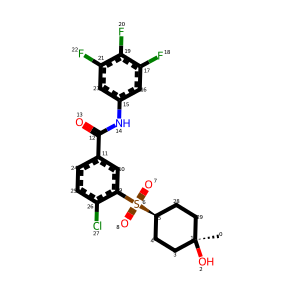 C[C@]1(O)CC[C@@H](S(=O)(=O)c2cc(C(=O)Nc3cc(F)c(F)c(F)c3)ccc2Cl)CC1